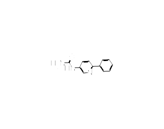 NC(=O)Nc1ccc(-c2ccccc2)nc1